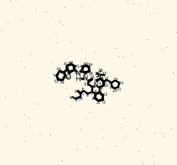 C=C(/C=C\C)CCC1c2ccccc2-c2cc(CC3CCCCC3)c([Si](C)(C)C)c[n+]2C1CC(=C)N(C)c1ccccc1Nc1cccc2c1oc1ccccc12